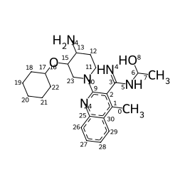 Cc1c(C(=N)NC(C)O)c(N2CCC(N)C(OC3CCCCC3)C2)nc2ccccc12